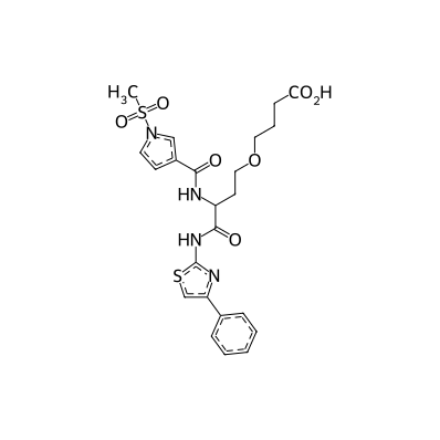 CS(=O)(=O)n1ccc(C(=O)NC(CCOCCCC(=O)O)C(=O)Nc2nc(-c3ccccc3)cs2)c1